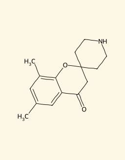 Cc1cc(C)c2c(c1)C(=O)CC1(CCNCC1)O2